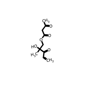 C=CC(=O)C(C)(O)COC(=O)CC(C)=O